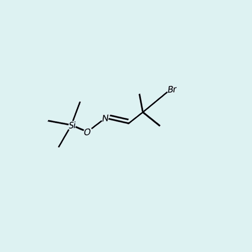 CC(C)(Br)/C=N/O[Si](C)(C)C